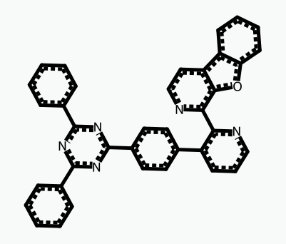 c1ccc(-c2nc(-c3ccccc3)nc(-c3ccc(-c4cccnc4-c4nccc5c4oc4ccccc45)cc3)n2)cc1